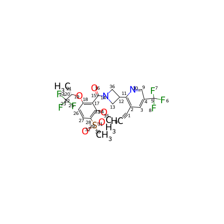 C#Cc1cc(C(F)(F)F)cnc1C1CN(C(=O)c2c(O[C@@H](C)C(F)(F)F)ccc(S(C)(=O)=O)c2OC)C1